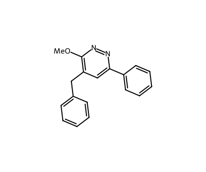 COc1nnc(-c2ccccc2)cc1Cc1ccccc1